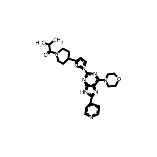 CC(C)C(=O)N1CCC(c2ccn(-c3nc(N4CCOCC4)c4nc(-c5ccncc5)[nH]c4n3)n2)CC1